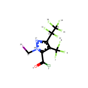 O=C(Cl)c1c(C(F)(F)F)c(C(F)(F)C(F)(F)F)nn1CI